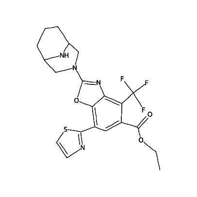 CCOC(=O)c1cc(-c2nccs2)c2oc(N3CC4CCCC(C3)N4)nc2c1C(F)(F)F